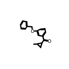 CC1CC1C(=O)c1cccc(OCc2ccccc2)c1